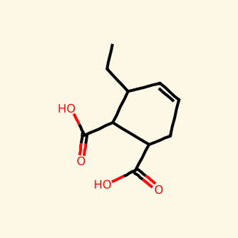 CCC1C=CCC(C(=O)O)C1C(=O)O